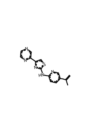 C=C(C)c1ccc(Nc2nc(-c3cnccn3)cs2)nc1